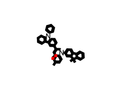 C=C/C=C(\CN(c1ccc(C)cc1)c1ccc2c(c1)C(C)(C)c1ccccc1-2)c1ccc2c(c1)c1c(n2-c2ccccc2)CCC=C1